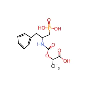 CC(OC(=O)NC(Cc1ccccc1)CP(=O)(O)O)C(=O)O